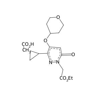 CC(=O)O.CCOC(=O)Cn1nc(C2CC2)c(OC2CCOCC2)cc1=O